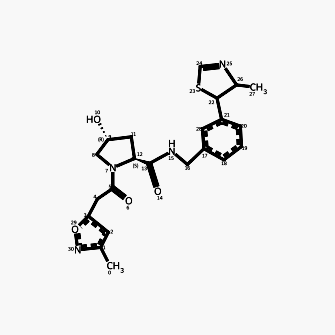 Cc1cc(CC(=O)N2C[C@H](O)C[C@H]2C(=O)NCc2cccc(C3SC=NC3C)c2)on1